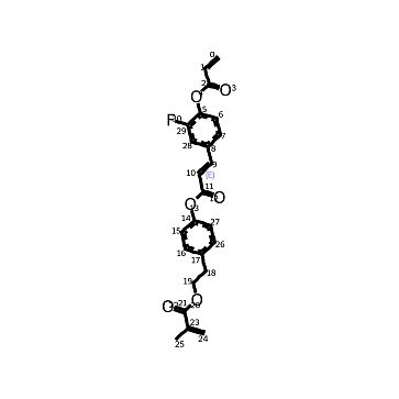 C=CC(=O)Oc1ccc(/C=C/C(=O)Oc2ccc(CCOC(=O)C(=C)C)cc2)cc1F